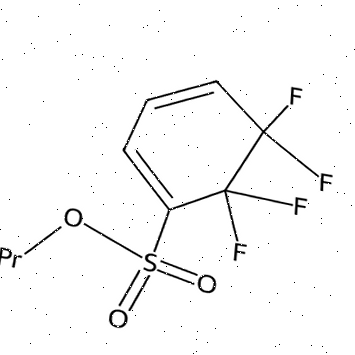 CCCOS(=O)(=O)C1=CC=CC(F)(F)C1(F)F